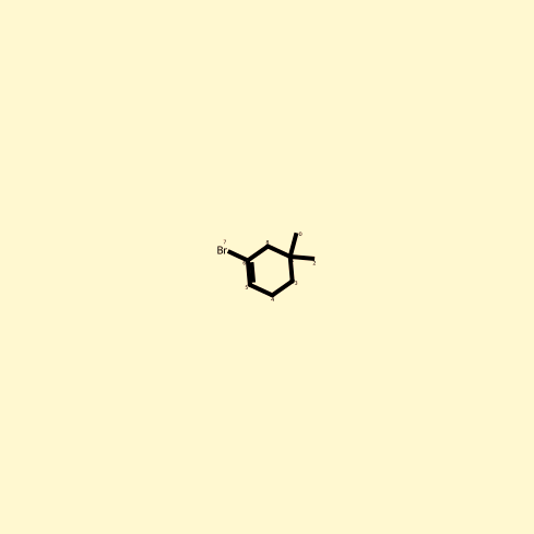 CC1(C)CCC=C(Br)C1